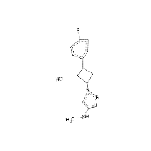 CNc1cnn(C2CC(c3ccc(F)cc3)C2)c1.Cl